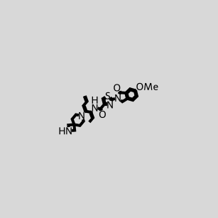 C=C/C=C(\C(=C/C)NC(=O)c1csc(N2Cc3ccc(OC)cc3C2=O)n1)N1CCC2(CC1)CNC2